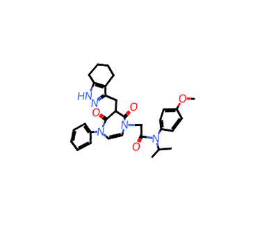 COc1ccc(N(C(=O)CN2C=CN(c3ccccc3)C(=O)C(Cc3n[nH]c4c3CCCC4)C2=O)C(C)C)cc1